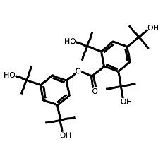 CC(C)(O)c1cc(OC(=O)c2c(C(C)(C)O)cc(C(C)(C)O)cc2C(C)(C)O)cc(C(C)(C)O)c1